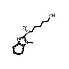 Cn1c([S+]([O-])CCCCCC#N)nc2ccccc21